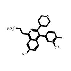 Cc1cc(-c2c(C3CCOCC3)nc(CCC(=O)O)c3cc(O)ccc23)ccc1F